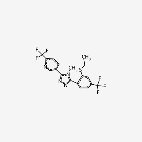 CCSc1cc(C(F)(F)F)ccc1-c1nnc(-c2ccc(C(F)(F)F)nc2)n1C